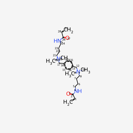 C=CC(=O)NCCCC[N+](C)(C)Cc1ccc(C[N+](C)(C)CCCCNC(=O)C=C)cc1